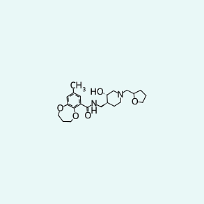 Cc1cc2c(c(C(=O)NC[C@@H]3CCN(CC4CCCO4)C[C@H]3O)c1)OCCCO2